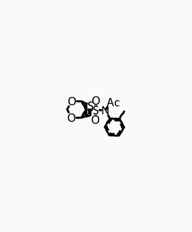 CC(=O)N(c1ccccc1C)S(=O)(=O)c1c2csc1OCO2